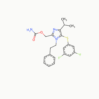 CC(C)c1nc(COC(N)=O)n(CCc2ccccc2)c1Sc1cc(F)cc(F)c1